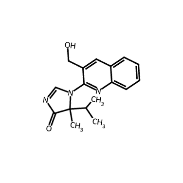 CC(C)C1(C)C(=O)N=CN1c1nc2ccccc2cc1CO